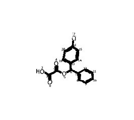 O=C(O)C(=O)OC(c1ccccc1)c1ccc(Cl)cc1